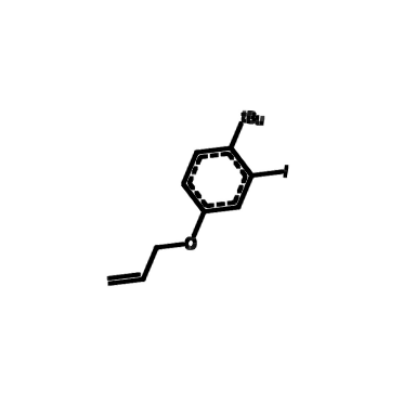 C=CCOc1ccc(C(C)(C)C)c(I)c1